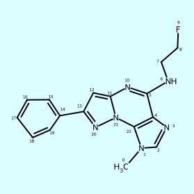 Cn1cnc2c(NCCF)nc3cc(-c4ccccc4)nn3c21